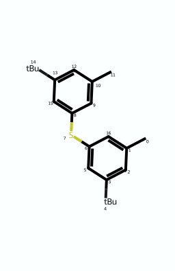 Cc1[c]c(C(C)(C)C)cc(Sc2cc(C)[c]c(C(C)(C)C)c2)c1